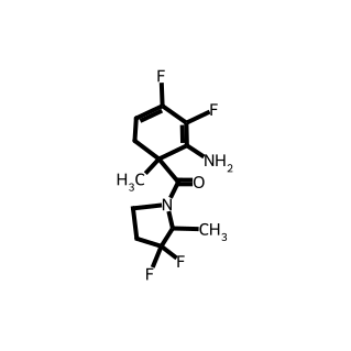 CC1N(C(=O)C2(C)CC=C(F)C(F)=C2N)CCC1(F)F